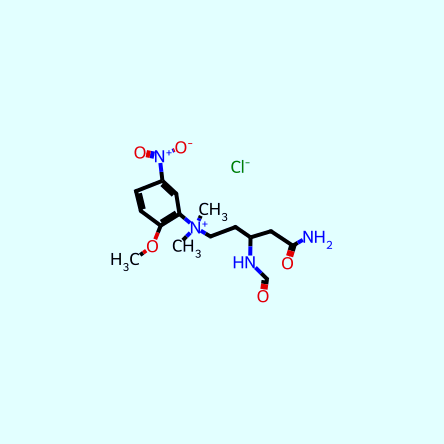 COc1ccc([N+](=O)[O-])cc1[N+](C)(C)CCC(CC(N)=O)NC=O.[Cl-]